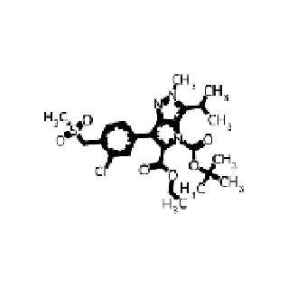 CCOC(=O)c1c(-c2ccc(CS(C)(=O)=O)c(Cl)c2)c2nn(C)c(C(C)C)c2n1C(=O)OC(C)(C)C